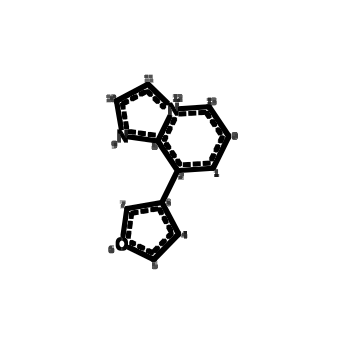 c1cc(-c2ccoc2)c2nccn2c1